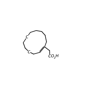 O=C(O)CC1=CCCCCCCCCCC1